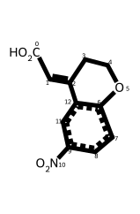 O=C(O)C=C1CCOc2ccc([N+](=O)[O-])cc21